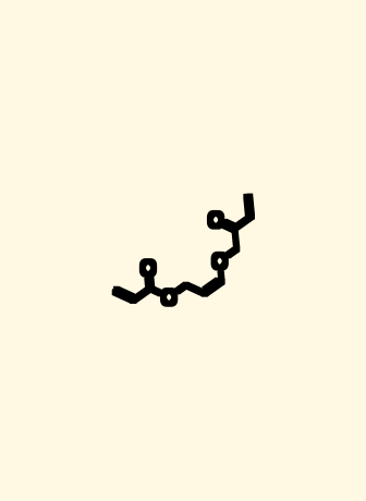 C=CC(=O)CO/C=C\COC(=O)C=C